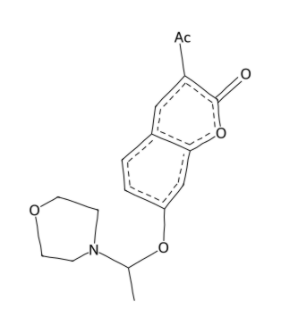 CC(=O)c1cc2ccc(OC(C)N3CCOCC3)cc2oc1=O